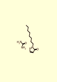 CCCCCCCCn1sccc1=O.NC(N)=O